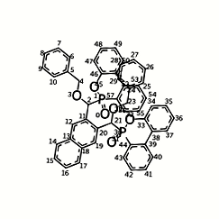 O=P1(C(OCc2ccccc2)c2cc3ccccc3cc2C(OCc2ccccc2)P2(=O)Oc3ccccc3-c3ccccc32)Oc2ccccc2-c2ccccc21